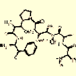 CCC(C)C(C(CC(=O)N1CCCC1C(OC)C(C)C(=O)NC(C)C(O)c1ccccc1)OC)N(C)C(=O)C(NC(=O)C(NC(C)C)C(C)C)C(C)C